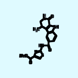 COC(=O)c1csc(NC(=O)c2ccc3[nH]c4c(c3c2)C(C)CNC4=O)n1